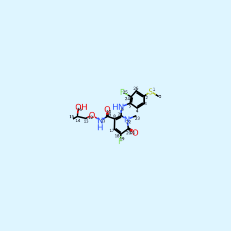 CSc1ccc(Nc2c(C(=O)NOCC(C)O)cc(F)c(=O)n2C)c(F)c1